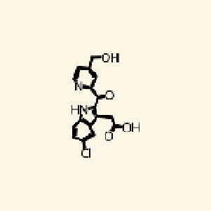 O=C(O)Cc1c(C(=O)c2cc(CO)ccn2)[nH]c2ccc(Cl)cc12